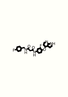 O=C(CC(=O)Nc1ccc(Oc2ccnc3[nH]ccc23)c(F)c1)NCc1ccc(F)cc1